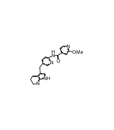 COc1cc(C(=O)Nc2ccc(Cc3c[nH]c4c3=CCCN=4)cn2)ccn1